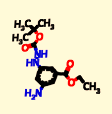 CCOC(=O)c1cc(N)cc(NNC(=O)OC(C)(C)C)c1